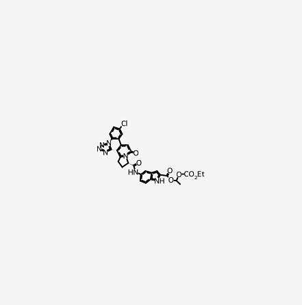 CCOC(=O)OC(C)OC(=O)c1cc2cc(NC(=O)[C@@H]3CCc4cc(-c5cc(Cl)ccc5-n5cnnn5)cc(=O)n43)ccc2[nH]1